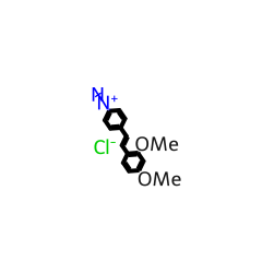 COc1ccc(C=Cc2ccc([N+]#N)cc2)c(OC)c1.[Cl-]